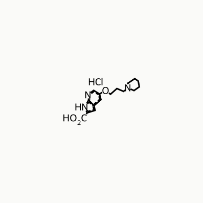 Cl.O=C(O)c1cc2cc(OCCCN3CCCCC3)cnc2[nH]1